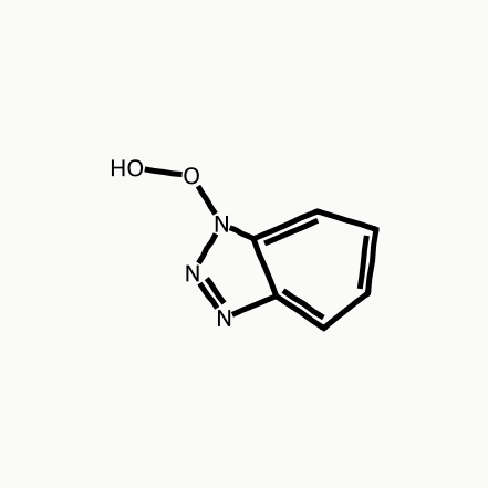 OOn1nnc2ccccc21